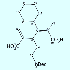 C=C(C(=O)O)C(CCCCCCCCCCCC)C(=C(C)C(=O)O)C1CCCCC1